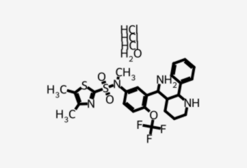 Cc1nc(S(=O)(=O)N(C)c2ccc(OC(F)(F)F)c(C(N)C3CCCNC3c3ccccc3)c2)sc1C.Cl.Cl.Cl.O